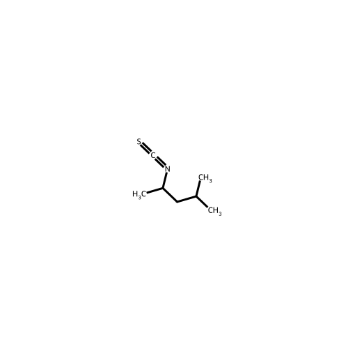 CC(C)CC(C)N=C=S